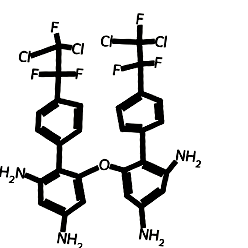 Nc1cc(N)c(-c2ccc(C(F)(F)C(F)(Cl)Cl)cc2)c(Oc2cc(N)cc(N)c2-c2ccc(C(F)(F)C(F)(Cl)Cl)cc2)c1